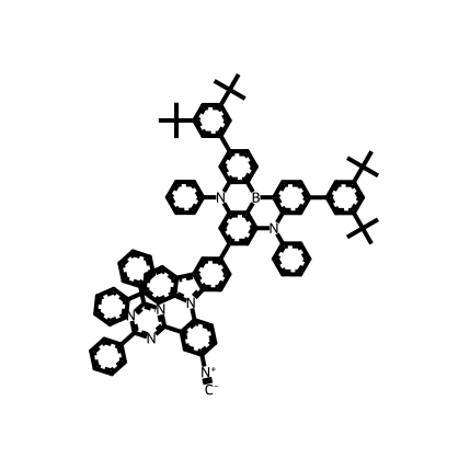 [C-]#[N+]c1ccc(-n2c3ccc(-c4cc5c6c(c4)N(c4ccccc4)c4cc(-c7cc(C(C)(C)C)cc(C(C)(C)C)c7)ccc4B6c4ccc(-c6cc(C(C)(C)C)cc(C(C)(C)C)c6)cc4N5c4ccccc4)cc3c3ccc(-c4ccccc4)cc32)c(-c2nc(-c3ccccc3)nc(-c3ccccc3)n2)c1